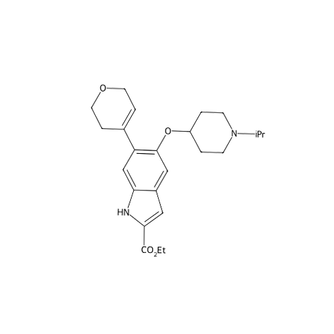 CCOC(=O)c1cc2cc(OC3CCN(C(C)C)CC3)c(C3=CCOCC3)cc2[nH]1